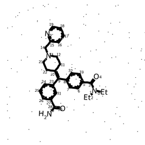 CCN(CC)C(=O)c1ccc(C(=C2CCN(Cc3ccccn3)CC2)c2cccc(C(N)=O)c2)cc1